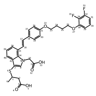 CC(CC(=O)O)Sc1cn(CC(=O)O)c2c(C=Cc3ccc(OCCCCOc4cccc(F)c4F)cc3)cccc12